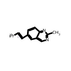 Cc1ncc2cc(/C=C/C(C)C)ccc2n1